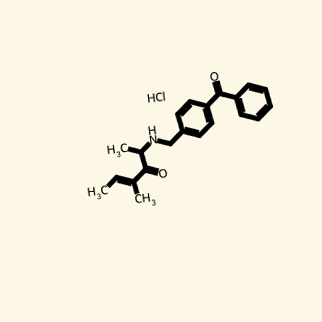 CC=C(C)C(=O)C(C)NCc1ccc(C(=O)c2ccccc2)cc1.Cl